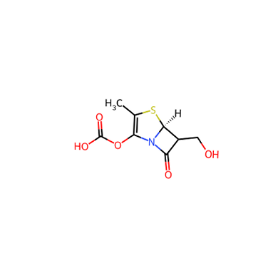 CC1=C(OC(=O)O)N2C(=O)C(CO)[C@@H]2S1